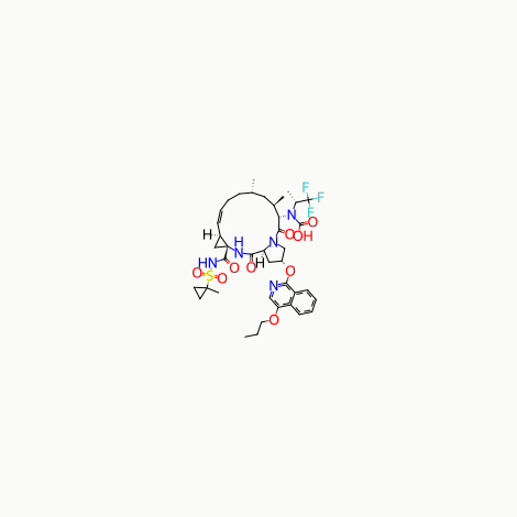 CCCOc1cnc(O[C@@H]2C[C@H]3C(=O)N[C@]4(C(=O)NS(=O)(=O)C5(C)CC5)C[C@H]4/C=C\CC[C@H](C)C[C@@H](C)[C@H](N(C(=O)O)[C@H](C)C(F)(F)F)C(=O)N3C2)c2ccccc12